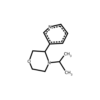 CC(C)N1CCOCC1c1cccnc1